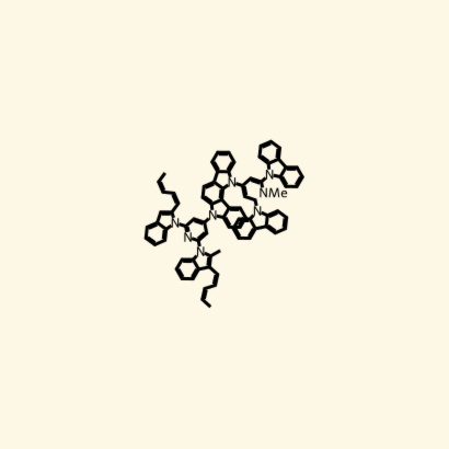 C/C=C\C=C/c1c(C)n(-c2cc(-n3c4ccccc4c4c5c(ccc43)c3ccccc3n5C(/C=C(\NC)n3c4ccccc4c4ccccc43)=C/Cn3c4ccccc4c4ccccc43)cc(-n3c(/C=C\C=C/C)cc4ccccc43)n2)c2ccccc12